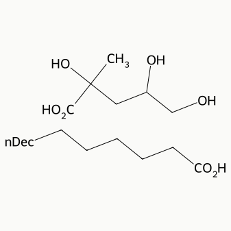 CC(O)(CC(O)CO)C(=O)O.CCCCCCCCCCCCCCCC(=O)O